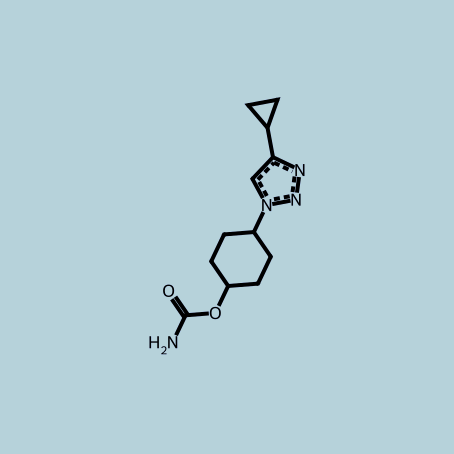 NC(=O)OC1CCC(n2cc(C3CC3)nn2)CC1